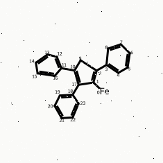 [Fe][C]1=C(c2ccccc2)CC(c2ccccc2)=C1c1ccccc1